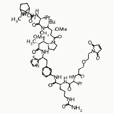 CC[C@H](C)C([C@@H](CC(=O)N1CCC[C@H]1[C@H](OC)[C@@H](C)C(=O)N[C@@H](Cc1cccc(NC(=O)[C@H](CCCNC(N)=O)NC(=O)C(NC(=O)CCOCCN2C(=O)C=CC2=O)C(C)C)c1)c1nccs1)OC)N(C)C(=O)[C@@H](NC(=O)[C@@H]1C2CCC([C@H]2C)N1C)C(C)C